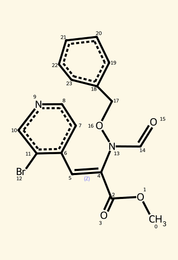 COC(=O)/C(=C/c1ccncc1Br)N(C=O)OCc1ccccc1